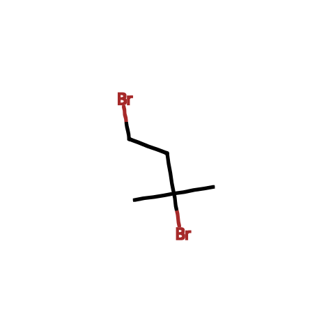 CC(C)(Br)CCBr